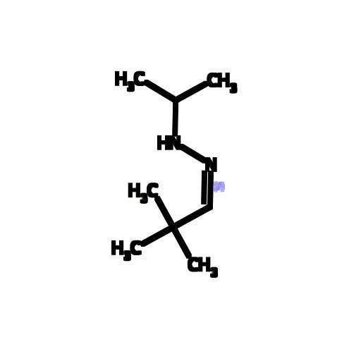 CC(C)N/N=C\C(C)(C)C